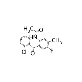 CC(=O)Nc1cc(C)c(F)cc1C(=O)c1ccccc1Cl